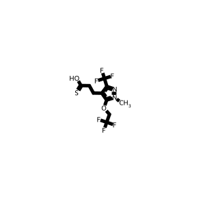 Cn1nc(C(F)(F)F)c(CCC(O)=S)c1OCC(F)(F)F